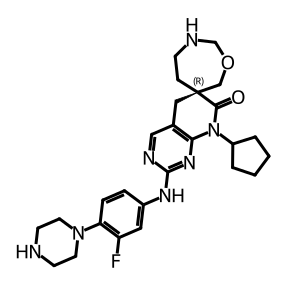 O=C1N(C2CCCC2)c2nc(Nc3ccc(N4CCNCC4)c(F)c3)ncc2C[C@]12CCNCOC2